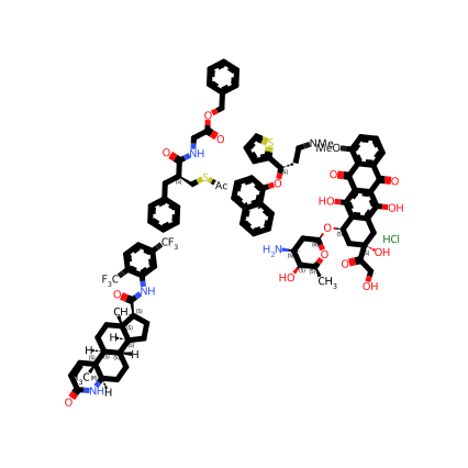 CC(=O)SC[C@@H](Cc1ccccc1)C(=O)NCC(=O)OCc1ccccc1.CNCC[C@H](Oc1cccc2ccccc12)c1cccs1.COc1cccc2c1C(=O)c1c(O)c3c(c(O)c1C2=O)C[C@@](O)(C(=O)CO)C[C@@H]3O[C@H]1C[C@H](N)[C@H](O)[C@H](C)O1.C[C@]12C=CC(=O)N[C@@H]1CC[C@@H]1[C@@H]2CC[C@]2(C)[C@@H](C(=O)Nc3cc(C(F)(F)F)ccc3C(F)(F)F)CC[C@@H]12.Cl